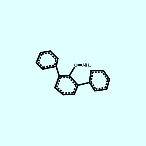 [AlH2][O]c1c(-c2ccccc2)cccc1-c1ccccc1